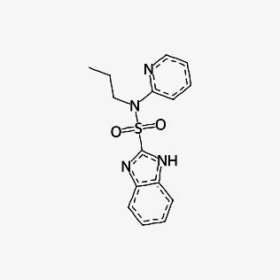 CCCN(c1ccccn1)S(=O)(=O)c1nc2ccccc2[nH]1